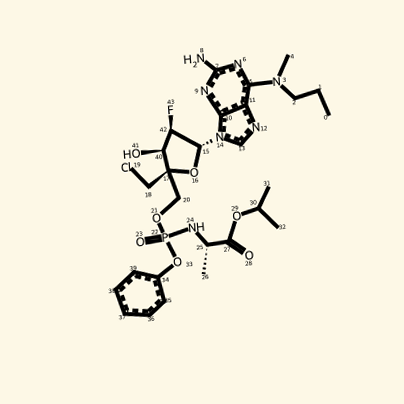 CCCN(C)c1nc(N)nc2c1ncn2[C@@H]1O[C@](CCl)(COP(=O)(N[C@@H](C)C(=O)OC(C)C)Oc2ccccc2)[C@@H](O)[C@H]1F